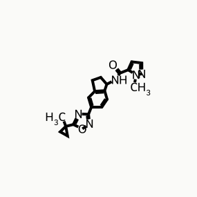 Cn1nccc1C(=O)NC1CCc2cc(-c3noc(C4(C)CC4)n3)ccc21